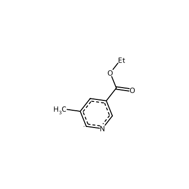 CCOC(=O)c1cn[c]c(C)c1